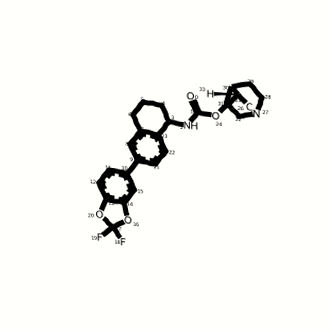 O=C(NC1CCCc2cc(-c3ccc4c(c3)OC(F)(F)O4)ccc21)O[C@H]1CN2CCC1CC2